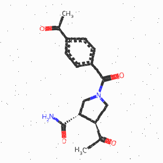 CC(=O)c1ccc(C(=O)N2C[C@@H](C(C)=O)[C@H](C(N)=O)C2)cc1